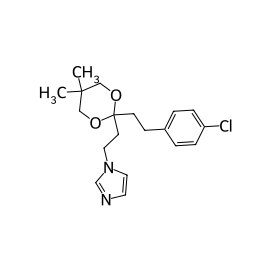 CC1(C)COC(CCc2ccc(Cl)cc2)(CCn2ccnc2)OC1